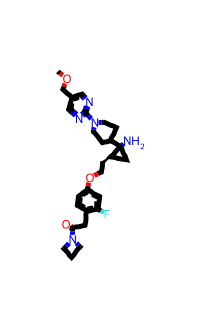 COCc1cnc(N2CCC(C3(N)C[C@H]3CCOc3ccc(CC(=O)N4CCC4)c(F)c3)CC2)nc1